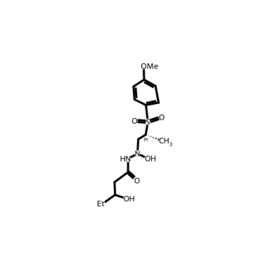 CCC(O)CC(=O)NN(O)C[C@@H](C)S(=O)(=O)c1ccc(OC)cc1